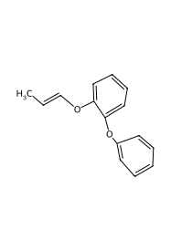 CC=COc1ccccc1Oc1ccccc1